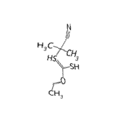 CCOC(S)=[SH]C(C)(C)C#N